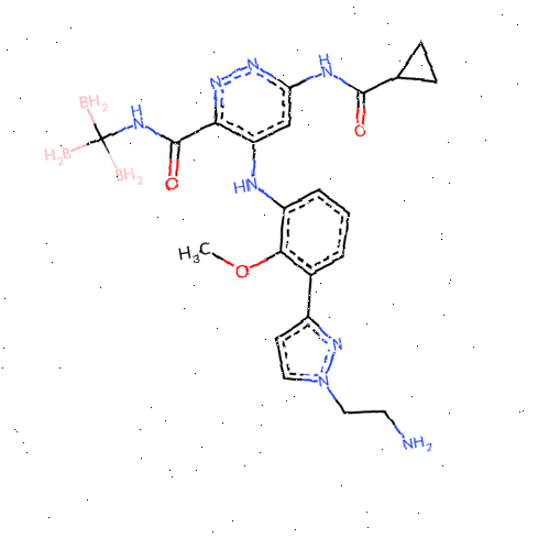 BC(B)(B)NC(=O)c1nnc(NC(=O)C2CC2)cc1Nc1cccc(-c2ccn(CCN)n2)c1OC